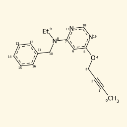 CC#CCOc1cc(N(CC)Cc2ccccc2)ncn1